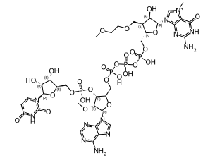 COCCOC[C@H]1[C@@H](O)[C@H](n2c[n+](C)c3c(=O)[nH]c(N)nc32)O[C@@H]1COP(=O)(O)OP(=O)(O)OP(=O)(O)OCC1O[C@@H](n2cnc3c(N)ncnc32)[C@H](OC)[C@@H]1OP(=O)(O)OC[C@H]1O[C@@H](n2ccc(=O)[nH]c2=O)[C@H](O)[C@@H]1O